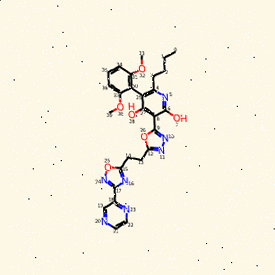 CCCCc1nc(O)c(-c2nnc(CCc3nc(-c4cnccn4)no3)o2)c(O)c1-c1c(OC)cccc1OC